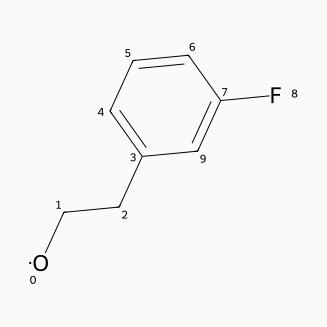 [O]CCc1cccc(F)c1